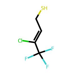 FC(F)(F)C(Cl)=CCS